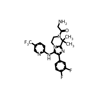 CC1(C)c2nc(-c3ccc(F)c(F)c3)c(Nc3ccc(C(F)(F)F)cn3)n2CCN1C(=O)CN